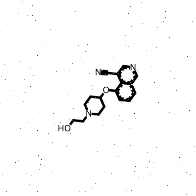 N#Cc1cncc2cccc(OC3CCN(CCO)CC3)c12